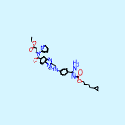 CCOC(=O)CCN(C(=O)c1ccc2c(c1)nc(CNc1ccc(/C(N)=N/C(=O)OCCCCC3CC3)cc1)n2C)c1ccccn1